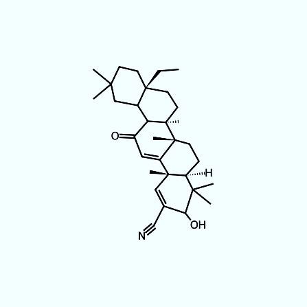 CC[C@]12CCC(C)(C)CC1C1C(=O)C=C3[C@@]4(C)C=C(C#N)C(O)C(C)(C)[C@@H]4CC[C@@]3(C)[C@]1(C)CC2